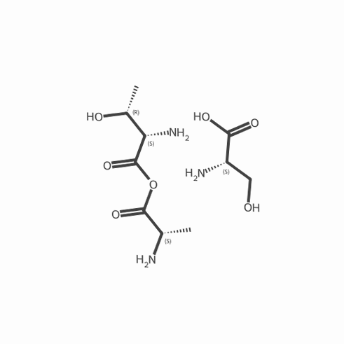 C[C@H](N)C(=O)OC(=O)[C@@H](N)[C@@H](C)O.N[C@@H](CO)C(=O)O